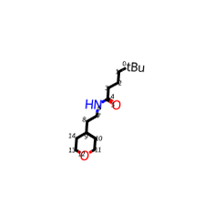 CC(C)(C)CCCC(=O)NCCC1CCOCC1